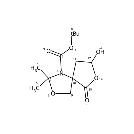 CC(C)(C)OC(=O)N1C(C)(C)OCC12CC(O)OC2=O